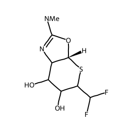 CNC1=NC2C(O)C(O)C(C(F)F)S[C@H]2O1